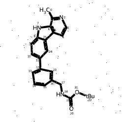 Cc1nccc2c1[nH]c1ccc(-c3cccc(CNC(=O)OC(C)(C)C)c3)cc12